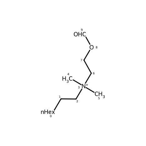 CCCCCCCC[N+](C)(C)CCOC=O